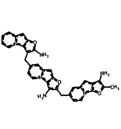 Cc1oc2c(cc3cc(Cc4oc5cc6cc(Cc7c(N)oc8cc9ccccn9c78)ccn6c5c4N)ccn32)c1N